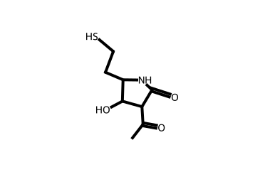 CC(=O)C1C(=O)NC(CCS)C1O